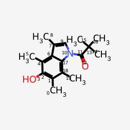 Cc1c(O)c(C)c2c(C)cn(C(=O)C(C)(C)C)c2c1C